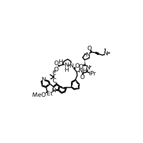 CCn1c(-c2cnccc2COC)c2c3cc(ccc31)-c1cccc(c1)C[C@H](NC(=O)C(C(C)C)N(C)C(=O)[C@H]1CCN(C(=O)C#CCN(C)C)C1)C(=O)N1CCC[C@H](N1)C(=O)OCC(C)(C)C2